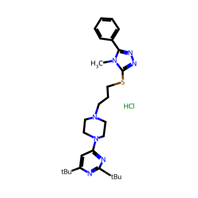 Cl.Cn1c(SCCCN2CCN(c3cc(C(C)(C)C)nc(C(C)(C)C)n3)CC2)nnc1-c1ccccc1